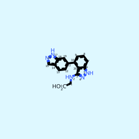 O=C(O)CNc1n[nH]c2cccc(-c3ccc4cn[nH]c4c3)c12